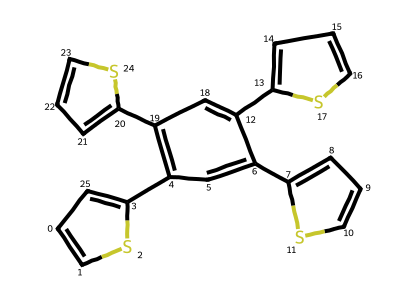 c1csc(-c2cc(-c3cccs3)c(-c3cccs3)cc2-c2cccs2)c1